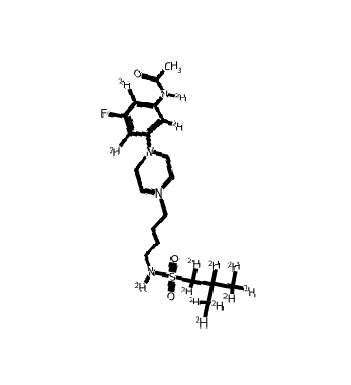 [2H]c1c(F)c([2H])c(N([2H])C(C)=O)c([2H])c1N1CCN(CCCCN([2H])S(=O)(=O)C([2H])([2H])C([2H])(C([2H])([2H])[2H])C([2H])([2H])[2H])CC1